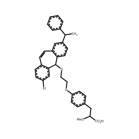 CCOC(=O)C(Cc1ccc(OCCOC2c3ccc(C(C)c4ccccc4)cc3C=Cc3ccc(CC)cc32)cc1)OC